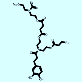 CCC(=O)N(CCOC)CCOC(=O)CCC(=O)OCCN(CCOC(=O)CCC(C)=O)C(=O)CCc1ccc(O)c(O)c1